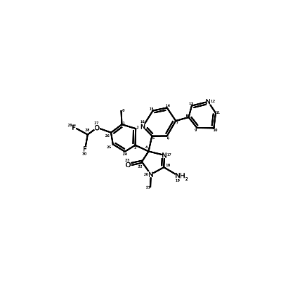 Cc1cc(C2(c3cc(-c4cccnc4)ccn3)N=C(N)N(C)C2=O)ccc1OC(F)F